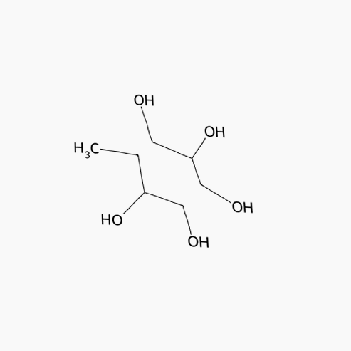 CCC(O)CO.OCC(O)CO